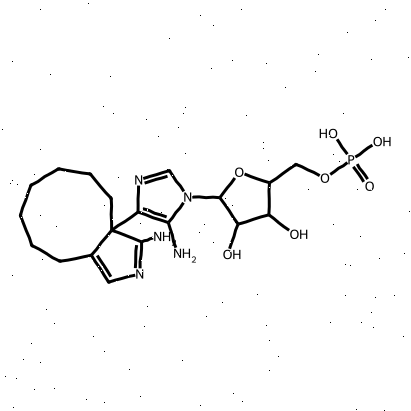 NC1=NC=C2CCCCCCCC21c1ncn(C2OC(COP(=O)(O)O)C(O)C2O)c1N